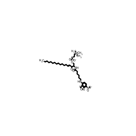 CCCCCCCCCCCCCC=CC(O)C(COP(=O)([O-])OCC[N+](C)(C)C)NC(=O)CCCCCNc1ccc([N+](=O)[O-])c2nonc12